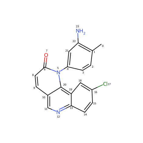 Cc1ccc(-n2c(=O)ccc3cnc4ccc(Cl)cc4c32)cc1N